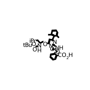 Cc1cccc(C)c1-c1cc(OCC(CC(C)C)NC(=O)OC(C)(C)C)nc(NS(=O)(=O)c2ccccc2C(=O)O)n1